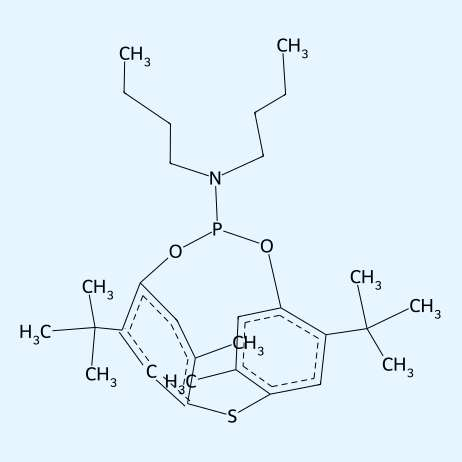 CCCCN(CCCC)P1Oc2cc(C)c(cc2C(C)(C)C)Sc2cc(C(C)(C)C)c(cc2C)O1